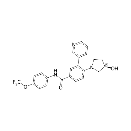 O=C(Nc1ccc(OC(F)(F)F)cc1)c1ccc(N2CC[C@@H](O)C2)c(-c2cccnc2)c1